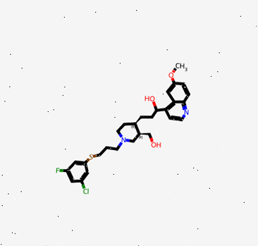 COc1ccc2nccc(C(O)CC[C@@H]3CCN(CCCSc4cc(F)cc(Cl)c4)C[C@@H]3CO)c2c1